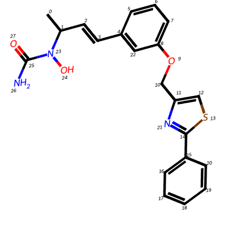 CC(C=Cc1cccc(OCc2csc(-c3ccccc3)n2)c1)N(O)C(N)=O